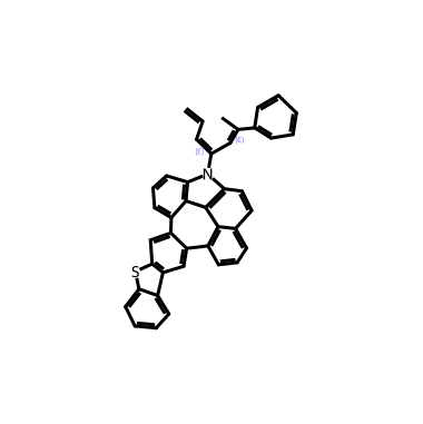 C=C/C=C(\C=C(/C)c1ccccc1)n1c2cccc3c2c2c4c(cccc4ccc21)-c1cc2c(cc1-3)sc1ccccc12